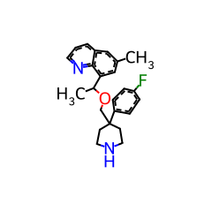 Cc1cc(C(C)OCC2(c3ccc(F)cc3)CCNCC2)c2ncccc2c1